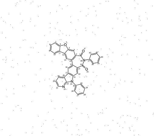 O=c1c2cc3oc4ccccc4c3cc2c2cc3c4cccnc4n(-c4ccccc4)c3cc2c(=O)n1-c1ccccc1